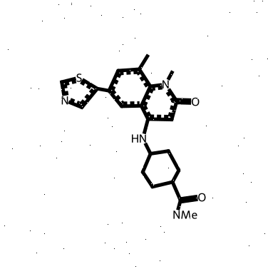 CNC(=O)C1CCC(Nc2cc(=O)n(C)c3c(C)cc(-c4cncs4)cc23)CC1